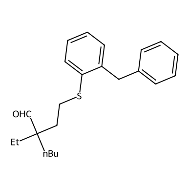 CCCCC(C=O)(CC)CCSc1ccccc1Cc1ccccc1